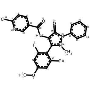 COc1cc(F)c(-c2c(NC(=O)c3ccc(Cl)nc3)c(=O)n(-c3ccccc3)n2C)c(F)c1